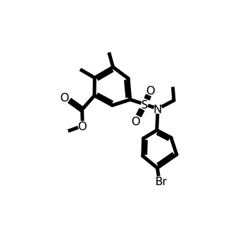 CCN(c1ccc(Br)cc1)S(=O)(=O)c1cc(C)c(C)c(C(=O)OC)c1